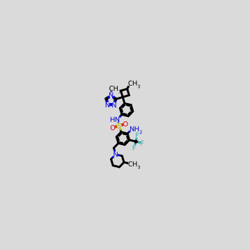 CC1CCCN(Cc2cc(C(F)(F)F)c(N)c(S(=O)(=O)Nc3cccc(C4(c5nncn5C)CC(C)C4)c3)c2)C1